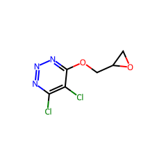 Clc1nnnc(OCC2CO2)c1Cl